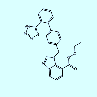 CCOOC(=O)c1cccc2ncn(Cc3ccc(-c4ccccc4-c4nnn[nH]4)cc3)c12